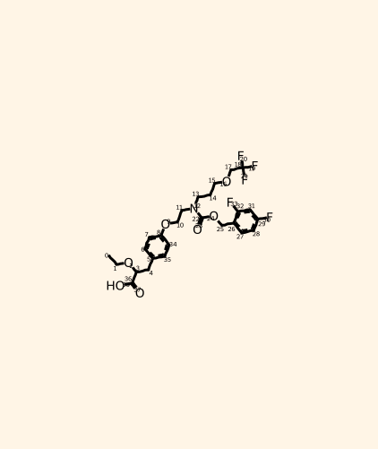 CCOC(Cc1ccc(OCCN(CCCOCC(F)(F)F)C(=O)OCc2ccc(F)cc2F)cc1)C(=O)O